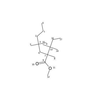 CCCC(C)(C)CC(C)(C(=O)OC)C(C)(C)CC